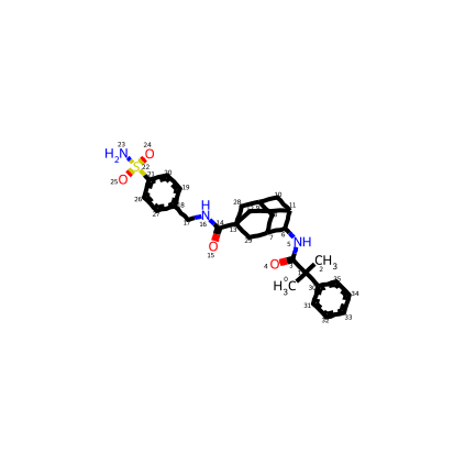 CC(C)(C(=O)NC1C2CC3CC1CC(C(=O)NCc1ccc(S(N)(=O)=O)cc1)(C3)C2)c1ccccc1